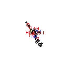 C#CCOCCOCCS[C@]1(C(=O)O)C[C@H](O)[C@@H](NC(=O)CO)[C@H](C[C@H](O)CNC(=O)Cc2ccc(-c3ccccc3)cc2)O1